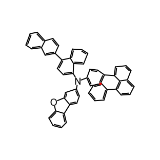 c1ccc(-c2cccc3cccc(-c4ccc(N(c5ccc6c(c5)oc5ccccc56)c5ccc(-c6ccc7ccccc7c6)c6ccccc56)cc4)c23)cc1